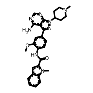 COc1cc(-c2nn(C3CCN(C)CC3)c3ncnc(N)c23)ccc1NC(=O)c1cc2ccccc2n1C